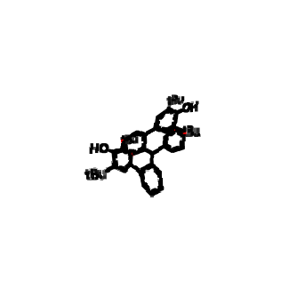 CC(C)(C)c1cc(-c2ccccc2C(c2ccccc2)c2ccccc2-c2cc(C(C)(C)C)c(O)c(C(C)(C)C)c2)cc(C(C)(C)C)c1O